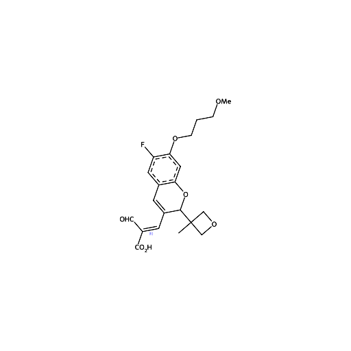 COCCCOc1cc2c(cc1F)C=C(/C=C(\C=O)C(=O)O)C(C1(C)COC1)O2